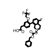 O=C(O)Cc1ccc(-c2ccc(F)c3c2CN(OC(=O)OCc2ccccc2)CC3)c(OCC(F)(F)F)c1